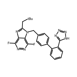 CC(C)(C)Cc1nc2c(F)nnc(F)c2n1Cc1ccc(-c2ccccc2-c2nnn[nH]2)cc1